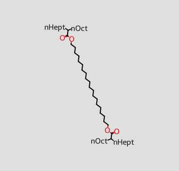 CCCCCCCCC(CCCCCCC)C(=O)OCCCCCCCCCCCCCCCCCCCCOC(=O)C(CCCCCCC)CCCCCCCC